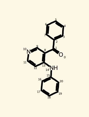 O=C(c1ccccc1)c1cnccc1Nc1ccccc1